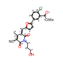 COC(=O)c1cc(-c2ccc(/C=C3\C(=O)N(CCCO)C(=O)C(C#N)=C3C)o2)ccc1Cl